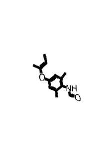 CC=C(C)Oc1cc(C)c(NC=O)c(C)c1